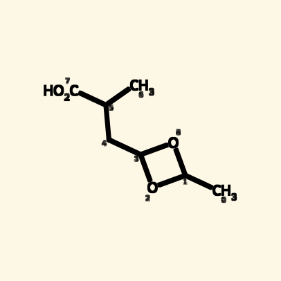 CC1OC(CC(C)C(=O)O)O1